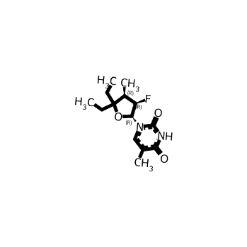 CCC1(CC)O[C@@H](n2cc(C)c(=O)[nH]c2=O)[C@H](F)[C@@H]1C